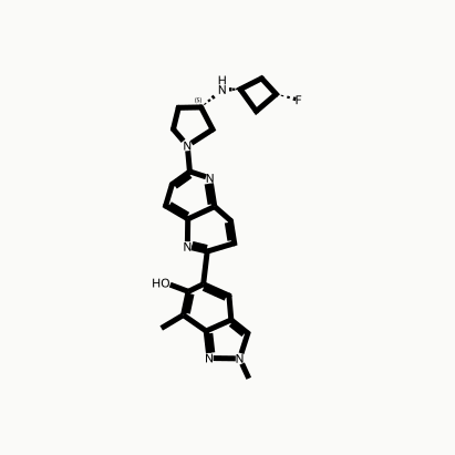 Cc1c(O)c(-c2ccc3nc(N4CC[C@H](N[C@H]5C[C@@H](F)C5)C4)ccc3n2)cc2cn(C)nc12